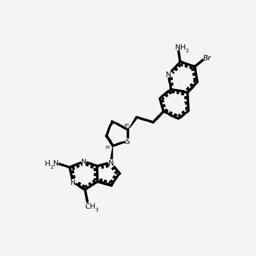 Cc1nc(N)nc2c1ccn2[C@H]1CC[C@@H](CCc2ccc3cc(Br)c(N)nc3c2)S1